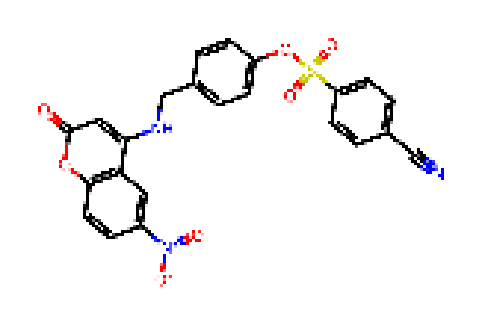 N#Cc1ccc(S(=O)(=O)Oc2ccc(CNc3cc(=O)oc4ccc([N+](=O)[O-])cc34)cc2)cc1